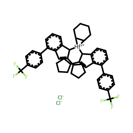 FC(F)(F)c1ccc(-c2cccc3c2C=C(C2CCCC2)[CH]3[Hf+2]2([CH]3C(C4CCCC4)=Cc4c(-c5ccc(C(F)(F)F)cc5)cccc43)[CH]3CCCC[CH]32)cc1.[Cl-].[Cl-]